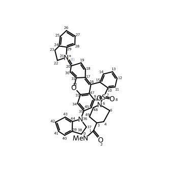 CNC(=O)C1CCN(S(=O)(=O)c2ccccc2-c2c3cc/c(=[N+]4/CCc5ccccc54)cc-3oc3cc(N4CCc5ccccc54)ccc23)CC1